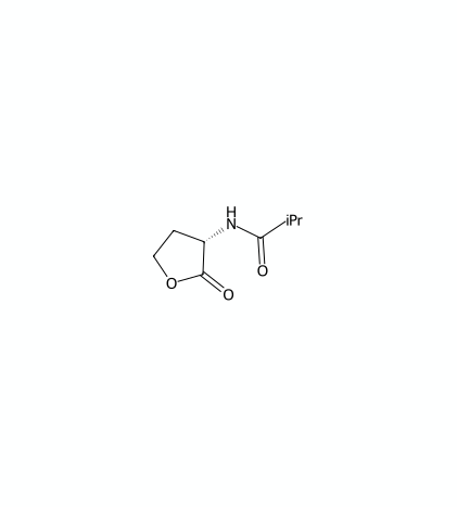 CC(C)C(=O)N[C@H]1CCOC1=O